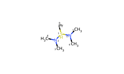 CC(C)[SH](N(C)C)N(C)C